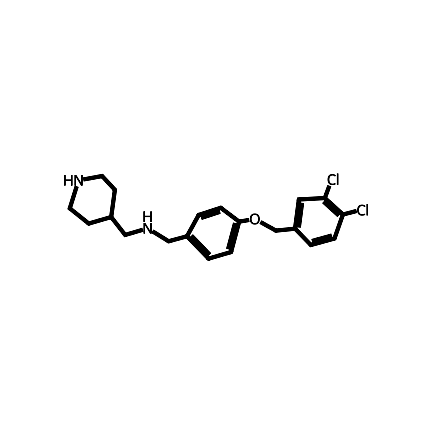 Clc1ccc(COc2ccc(CNCC3CCNCC3)cc2)cc1Cl